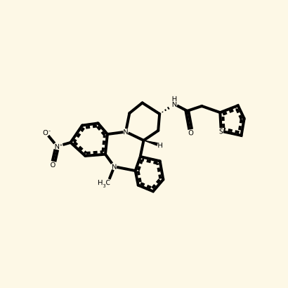 CN1c2ccccc2[C@H]2C[C@@H](NC(=O)Cc3cccs3)CCN2c2ccc([N+](=O)[O-])cc21